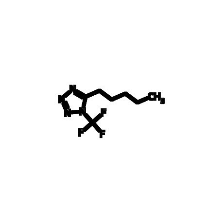 CCCCCc1nnnn1C(F)(F)F